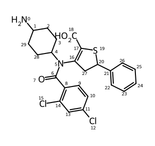 NC1CCC(N(C(=O)c2ccc(Cl)cc2Cl)C2=C(C(=O)O)SC(c3ccccc3)C2)CC1